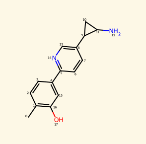 Cc1ccc(-c2ccc(C3CC3N)cn2)cc1O